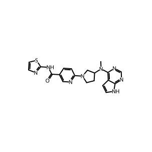 CN(c1ncnc2[nH]ccc12)C1CCN(c2ccc(C(=O)Nc3nccs3)cn2)C1